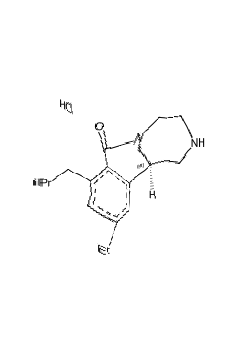 CCc1cc(CC(C)C)c2c(c1)[C@@H]1CNCCN1C2=O.Cl